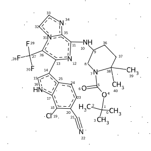 CC(C)(C)OC(=O)N1CC(Nc2nc(-c3c[nH]c4c(Cl)c(C#N)ccc34)c(C(F)(F)F)n3ccnc23)CCC1(C)C